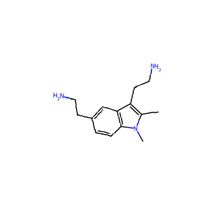 Cc1c(CCN)c2cc(CCN)ccc2n1C